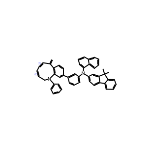 C=C1/C=C\C=C/CN(c2ccccc2)c2cc(-c3cccc(N(c4ccc5c(c4)C(C)(C)c4ccccc4-5)c4cccc5ccccc45)c3)ccc21